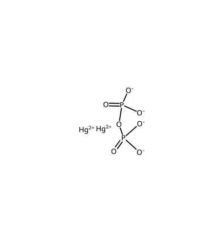 O=P([O-])([O-])OP(=O)([O-])[O-].[Hg+2].[Hg+2]